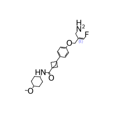 CO[C@H]1CC[C@H](NC(=O)C23CC(c4ccc(OC/C(=C/F)CN)cc4)(C2)C3)CC1